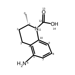 C[C@H]1CCc2c(N)cccc2N1C(=O)O